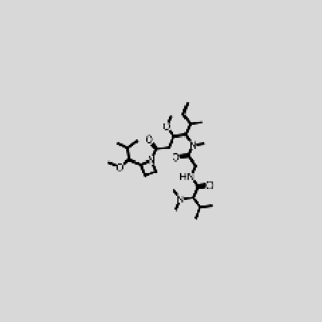 CCC(C)C(C(CC(=O)N1CCC1C(OC)C(C)C)OC)N(C)C(=O)CNC(=O)C(C(C)C)N(C)C